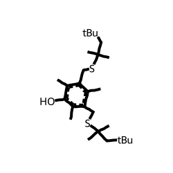 Cc1c(O)c(C)c(CSC(C)(C)CC(C)(C)C)c(C)c1CSC(C)(C)CC(C)(C)C